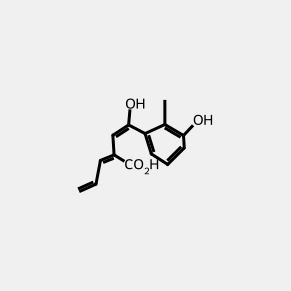 C=C/C=C(/C=C(/O)c1cccc(O)c1C)C(=O)O